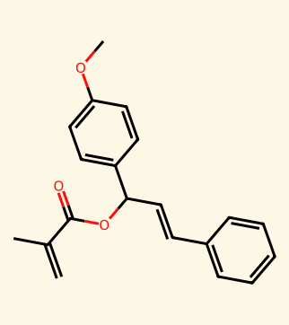 C=C(C)C(=O)OC(C=Cc1ccccc1)c1ccc(OC)cc1